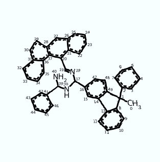 CC1(c2ccccc2)c2ccccc2-c2cc(C(/N=C/c3c4ccccc4cc4ccc5ccccc5c34)NC(N)c3ccccc3)ccc21